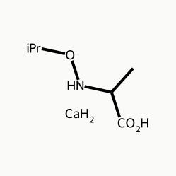 CC(C)ONC(C)C(=O)O.[CaH2]